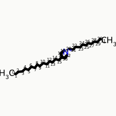 CCCCCCCCCCCCCCCCc1cc[n+](CCCCCCCCCCCC)cc1